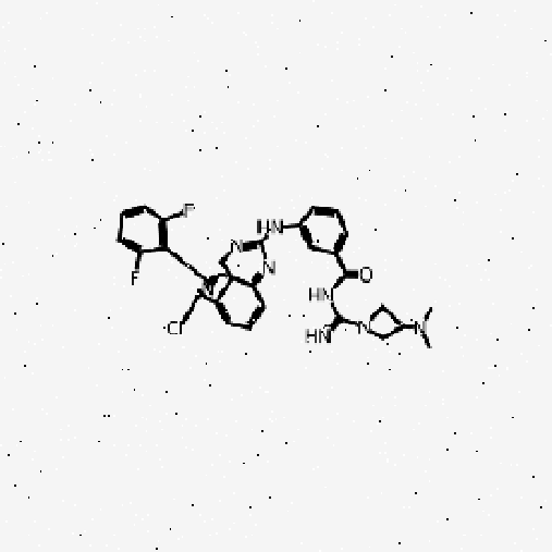 CN(C)C1CN(C(=N)NC(=O)c2cccc(NC3=NCC45CC=C(c6c(F)cccc6F)N=C(Cl)C4=CC=CC5=N3)c2)C1